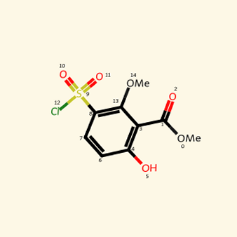 COC(=O)c1c(O)ccc(S(=O)(=O)Cl)c1OC